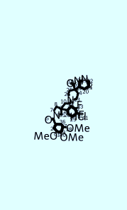 COc1cc(C(=O)N2CCC(CCN3CCC(C(N)=O)(c4cccnc4)CC3)(c3ccc(F)c(F)c3)C2)cc(OC)c1OC.Cl